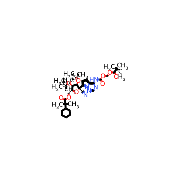 CC(C)(C)C(=O)OCOC(=O)Nc1ncnn2c([C@]3(C#N)O[C@H](COC(=O)C(C)(C)C4CCCCC4)[C@@H](O[Si](C)(C)C)[C@H]3O[Si](C)(C)C)ccc12